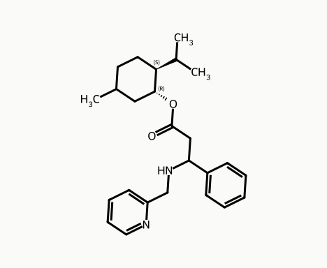 CC1CC[C@@H](C(C)C)[C@H](OC(=O)CC(NCc2ccccn2)c2ccccc2)C1